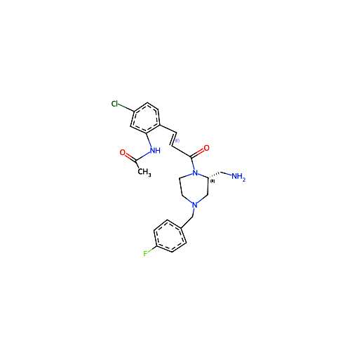 CC(=O)Nc1cc(Cl)ccc1/C=C/C(=O)N1CCN(Cc2ccc(F)cc2)C[C@H]1CN